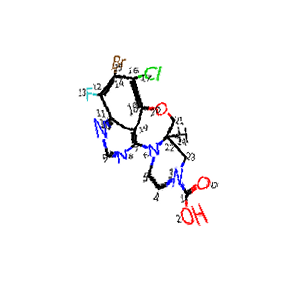 O=C(O)N1CCN2c3ncnc4c(F)c(Br)c(Cl)c(c34)OC[C@@H]2C1